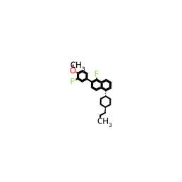 CCC[C@H]1CC[C@H](c2cccc3c(F)c(-c4ccc(OC)c(F)c4)ccc32)CC1